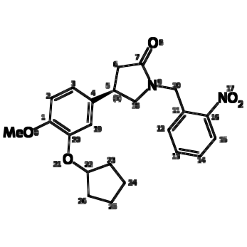 COc1ccc([C@H]2CC(=O)N(Cc3ccccc3[N+](=O)[O-])C2)cc1OC1CCCC1